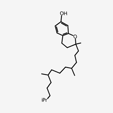 CC(C)CCCC(C)CCCC(C)CCCC1(C)CCc2ccc(O)cc2O1